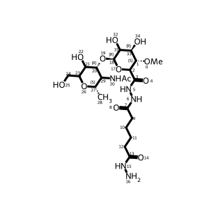 CO[C@@H]1C(C(=O)NNC(=O)CCCCC(=O)NN)O[C@@H](O[C@H]2C(O)C(CO)O[C@@H](C)C2NC(C)=O)C(O)[C@H]1O